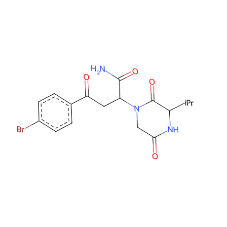 CC(C)C1NC(=O)CN(C(CC(=O)c2ccc(Br)cc2)C(N)=O)C1=O